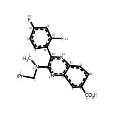 CC(C)CN(C)c1nc2cc(C(=O)O)ccc2nc1-c1ccc(F)cc1F